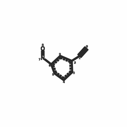 C#Cc1cccc(N=O)c1